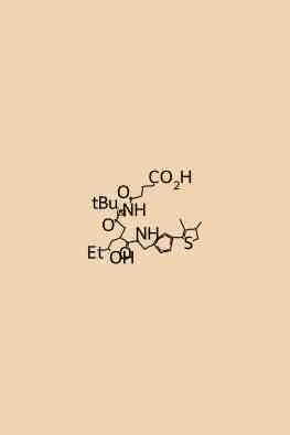 CCC(O)CC(CC(=O)[C@@H](NC(=O)CCCC(=O)O)C(C)(C)C)C(=O)C(=N)Cc1ccc(C2=C(C)C(C)CS2)cc1